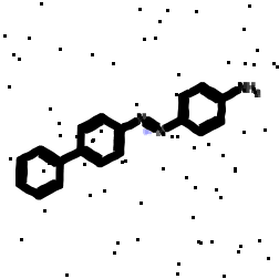 Nc1ccc(/N=N/c2ccc(-c3ccccc3)cc2)cc1